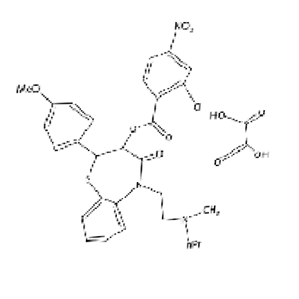 CCCN(C)CCN1C(=O)C(OC(=O)c2ccc([N+](=O)[O-])cc2Cl)C(c2ccc(OC)cc2)Sc2ccccc21.O=C(O)C(=O)O